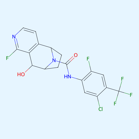 O=C(Nc1cc(Cl)c(C(F)(F)F)cc1F)N1C2CCC1C(O)c1c2ccnc1F